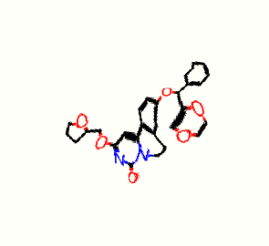 O=c1nc(OCC2CCCO2)cc2n1CCc1cc(OC(C3=CC=CCC3)C3=COC=CO3)ccc1-2